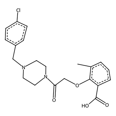 Cc1cccc(C(=O)O)c1OCC(=O)N1CCN(Cc2ccc(Cl)cc2)CC1